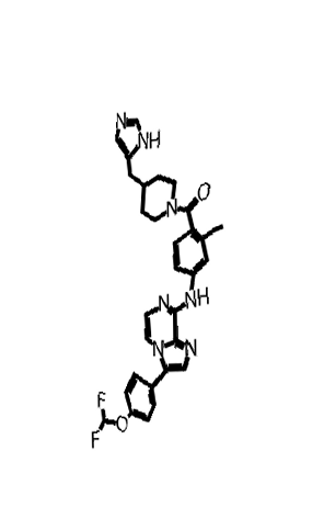 Cc1cc(Nc2nccn3c(-c4ccc(OC(F)F)cc4)cnc23)ccc1C(=O)N1CCC(Cc2cnc[nH]2)CC1